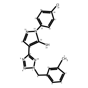 Cc1cccc(Cn2nnc(-c3cnn(-c4ccc(Cl)cc4)c3S)n2)c1